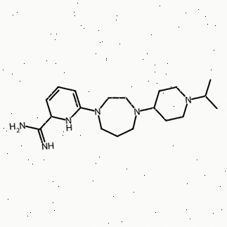 CC(C)N1CCC(N2CCCN(C3=CC=CC(C(=N)N)N3)CC2)CC1